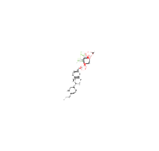 CCCc1ccc(C2CCC3CC(COc4ccc(OCC)c(F)c4F)CCC3C2)cc1